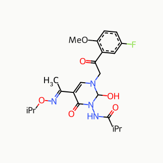 COc1ccc(F)cc1C(=O)CN1C=C(/C(C)=N/OC(C)C)C(=O)N(NC(=O)C(C)C)C1O